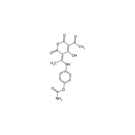 CC(=O)C1=C(O)C(=C(C)Nc2ccc(OC(N)=O)cc2)C(=O)OC1=O